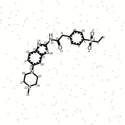 CCS(=O)(=O)c1ccc(CC(=O)Nc2nc3ccc(N4CCN(C)CC4)cc3s2)cc1